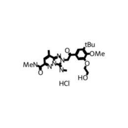 C/N=c1\n(CC(=O)c2cc(OCCO)c(OC)c(C(C)(C)C)c2)nc2c(C)cc(C(=O)NC)nn12.Cl